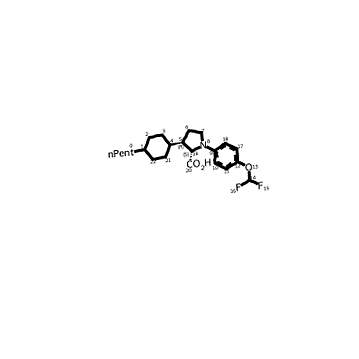 CCCCCC1CCC([C@H]2CCN(c3ccc(OC(F)F)cc3)[C@@H]2C(=O)O)CC1